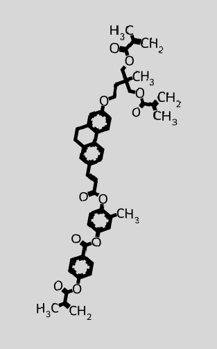 C=C(C)C(=O)OCC(C)(CCOc1ccc2c(c1)CCc1cc(/C=C/C(=O)Oc3ccc(OC(=O)c4ccc(OC(=O)C(=C)C)cc4)cc3C)ccc1-2)COC(=O)C(=C)C